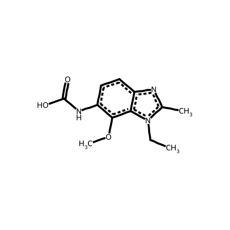 CCn1c(C)nc2ccc(NC(=O)O)c(OC)c21